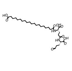 O=CCC[C@H](NC(=O)CC[C@H](NC(=O)CCCCCCCCCCCCCCCCCCC(=O)O)C(=O)O)C(=O)O